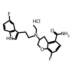 CCN(CCc1c[nH]c2ccc(F)cc12)C1COc2c(F)ccc(C(N)=O)c2C1.Cl